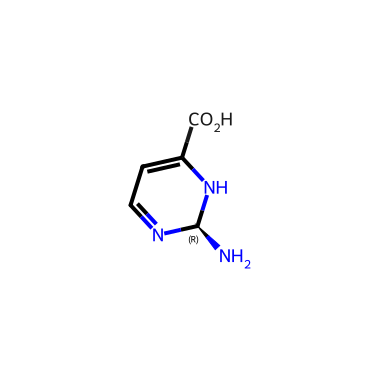 N[C@H]1N=CC=C(C(=O)O)N1